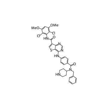 COc1cc(OC)c(Cl)c(NC(=O)c2csc3c(Nc4ccc(C(=O)N(Cc5ccccc5)C5CCNCC5)cc4)ncnc23)c1Cl